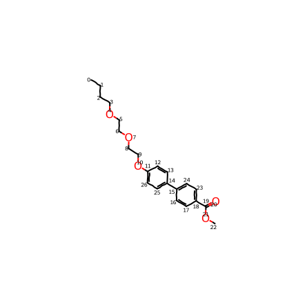 CCCCOCCOCCOc1ccc(-c2ccc(C(=O)OC)cc2)cc1